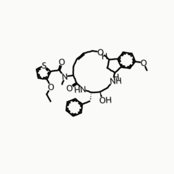 CCOc1ccsc1C(=O)N(C)C1CC=CCO[C@@H]2C[C@H](NC[C@@H](O)[C@H](Cc3ccccc3)NC1=O)c1cc(OC)ccc12